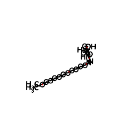 CC(C)CCOCCOCCOCCOCCOCCOCCOCCOCCOCCOCCOCCn1cnc(CNC(=O)CC2SCC(C(=O)O)NC2=O)c1